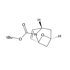 CC(C)(C)OC(=O)N1[C@@H]2C=C[C@]13C[C@H](C2)O3